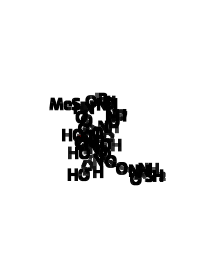 CCC(C)[C@@H]1NC(=O)[C@H](Cc2ccccc2)NC(=O)[C@H](Cc2ccc(O)cc2)NC(=O)[C@@H](CC(=O)[C@@H](NC(=O)[C@H](CO)NC(=O)[C@H](Cc2ccc(O)cc2)NC(=O)COCCOCCNC(=O)[C@@H](N)CS)C(C)O)COC(=O)[C@H](CCSC)NC1=O